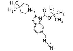 CC1(C)CCN(Cc2cc3ccc(CN=[N+]=[N-])cc3n2C(=O)OC(C)(C)C)CC1